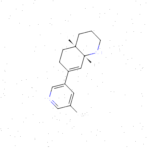 COc1cncc(C2=C[C@H]3NCCC[C@H]3CC2)c1